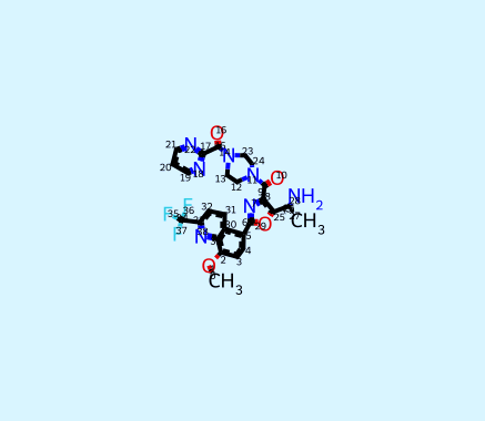 COc1ccc(-c2nc(C(=O)N3CCN(C(=O)c4ncccn4)CC3)c([C@H](C)N)o2)c2ccc(C(F)(F)F)nc12